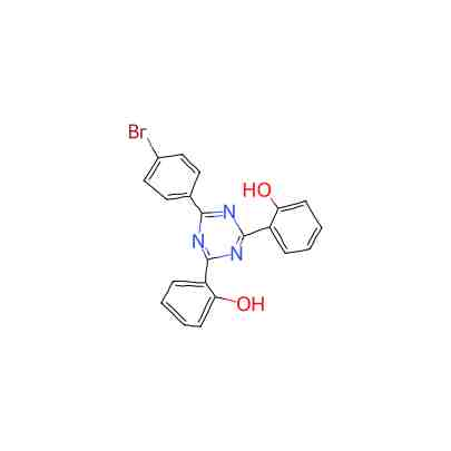 Oc1ccccc1-c1nc(-c2ccc(Br)cc2)nc(-c2ccccc2O)n1